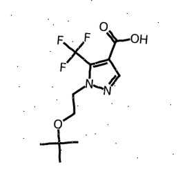 CC(C)(C)OCCn1ncc(C(=O)O)c1C(F)(F)F